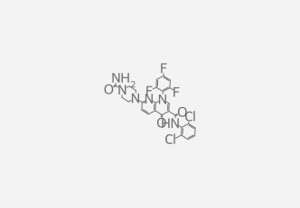 NC(=O)N1CCN(c2ccc3c(=O)c(C(=O)Nc4c(Cl)cccc4Cl)cn(-c4c(F)cc(F)cc4F)c3n2)CC1